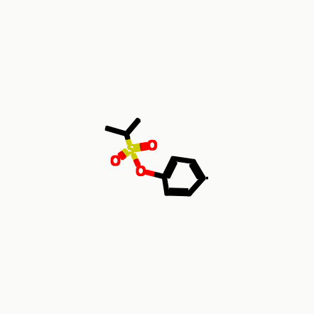 CC(C)S(=O)(=O)Oc1cc[c]cc1